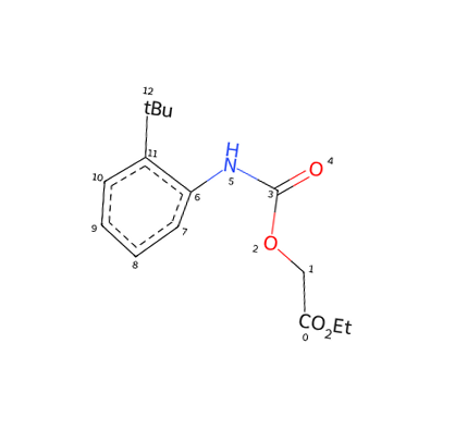 CCOC(=O)COC(=O)Nc1ccccc1C(C)(C)C